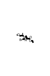 CCOC(=O)c1cn([C@H](C)COC)c(Br)n1